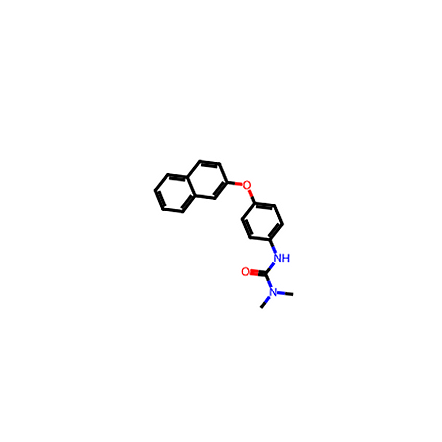 CN(C)C(=O)Nc1ccc(Oc2ccc3ccccc3c2)cc1